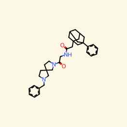 O=C(CC12CC3CC(C1)CC(c1ccccc1)(C3)C2)NCC(=O)N1CCC2(CCN(Cc3ccccc3)C2)C1